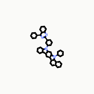 c1ccc(-c2nc(-c3cccc(-n4c5ccccc5c5cc6c7ccc8ccccc8c7n(-c7ccccc7)c6cc54)c3)nc3ccccc23)cc1